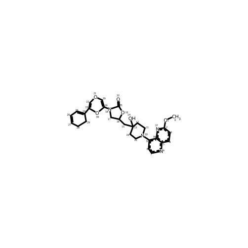 COc1ccc2nccc(N3CCC(O)(CC4CN(C5=COC=C(C6=CC=CCC6)O5)C(=O)O4)CC3)c2n1